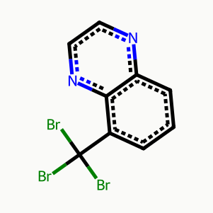 BrC(Br)(Br)c1cccc2nccnc12